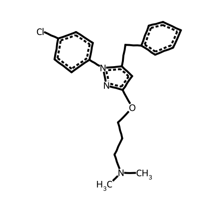 CN(C)CCCOc1cc(Cc2ccccc2)n(-c2ccc(Cl)cc2)n1